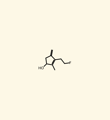 C=C1CC(O)C(C)=C1CCF